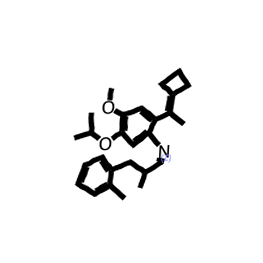 COc1cc(C(C)=C2CCC2)c(/N=C\C(C)Cc2ccccc2C)cc1OC(C)C